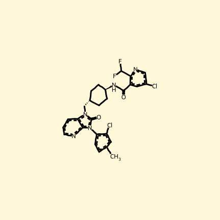 Cc1ccc(-n2c(=O)n(C[C@H]3CC[C@H](NC(=O)c4cc(Cl)cnc4C(F)F)CC3)c3cccnc32)c(Cl)c1